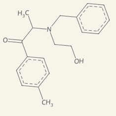 Cc1ccc(C(=O)C(C)N(CCO)Cc2ccccc2)cc1